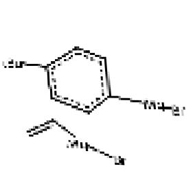 C=[CH][Mg][Br].CC(C)(C)c1cc[c]([Mg][Br])cc1